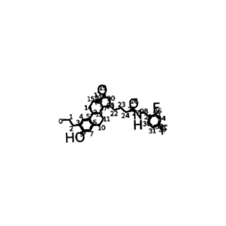 CCCc1cc2c(cc1O)CCC1C2CC[C@]2(C)C(=O)C[C@@H](CCCC(=O)NCc3ccc(F)cc3F)C12